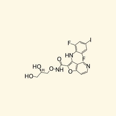 O=C(NOC[C@H](O)CO)c1oc2ccncc2c1Nc1c(F)cc(I)cc1F